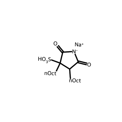 CCCCCCCCC1C(=O)[N-]C(=O)C1(CCCCCCCC)S(=O)(=O)O.[Na+]